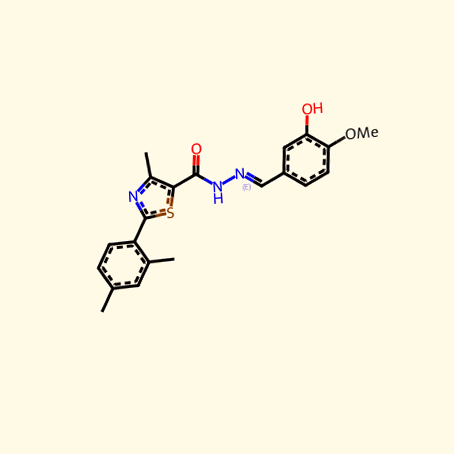 COc1ccc(/C=N/NC(=O)c2sc(-c3ccc(C)cc3C)nc2C)cc1O